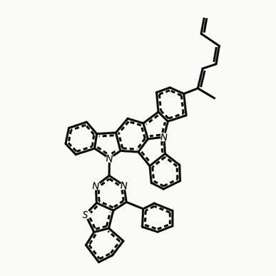 C=C/C=C\C=C(/C)c1ccc2c3cc4c5ccccc5n(-c5nc(-c6ccccc6)c6c(n5)sc5ccccc56)c4c4c5ccccc5n(c2c1)c34